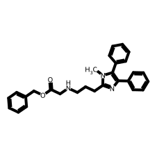 Cn1c(CCCNCC(=O)OCc2ccccc2)nc(-c2ccccc2)c1-c1ccccc1